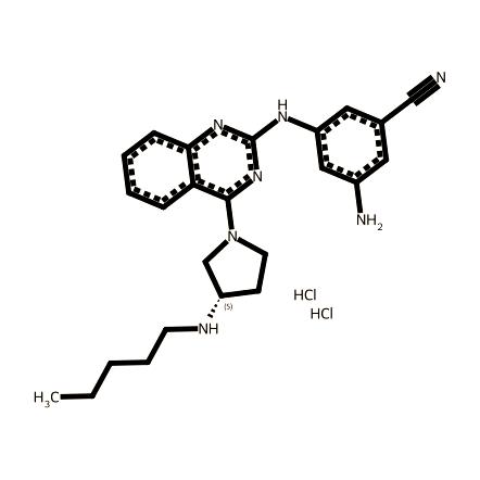 CCCCCN[C@H]1CCN(c2nc(Nc3cc(N)cc(C#N)c3)nc3ccccc23)C1.Cl.Cl